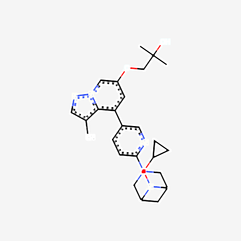 CC(C)(O)COc1cc(-c2ccc(N3CC4CC(C3)N4OC3CC3)nc2)c2c(C#N)cnn2c1